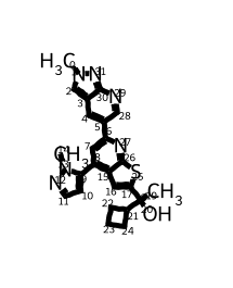 Cn1cc2cc(-c3cc(-c4ccnn4C)c4cc(C(C)(O)C5CCC5)sc4n3)cnc2n1